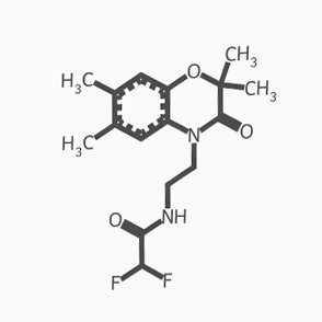 Cc1cc2c(cc1C)N(CCNC(=O)C(F)F)C(=O)C(C)(C)O2